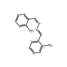 Nc1ccccc1/C=N\N=C\c1ccccc1N